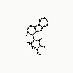 C=C(/C=C\C)N(C)/C(c1c(C)ccc2c1oc1ccccc12)=[N+](/C)C(C)C